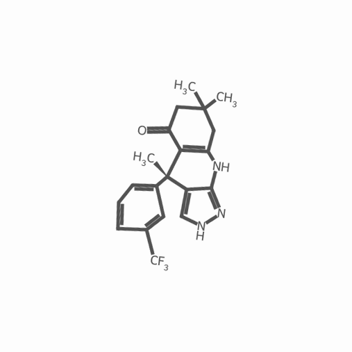 CC1(C)CC(=O)C2=C(C1)Nc1n[nH]cc1[C@]2(C)c1cccc(C(F)(F)F)c1